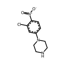 O=[N+]([O-])c1ccc(N2CCNCC2)cc1Cl